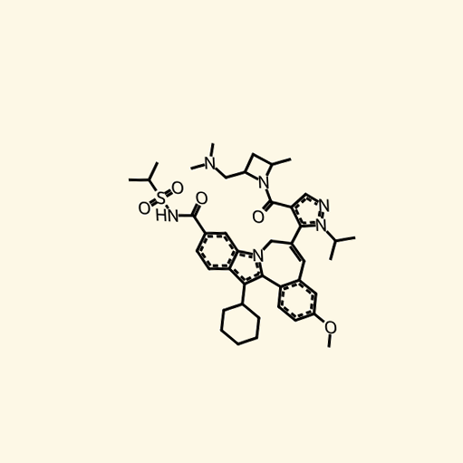 COc1ccc2c(c1)C=C(c1c(C(=O)N3C(C)CC3CN(C)C)cnn1C(C)C)Cn1c-2c(C2CCCCC2)c2ccc(C(=O)NS(=O)(=O)C(C)C)cc21